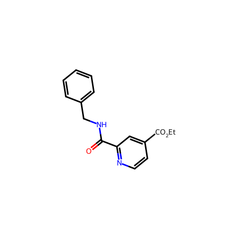 CCOC(=O)c1ccnc(C(=O)NCc2ccccc2)c1